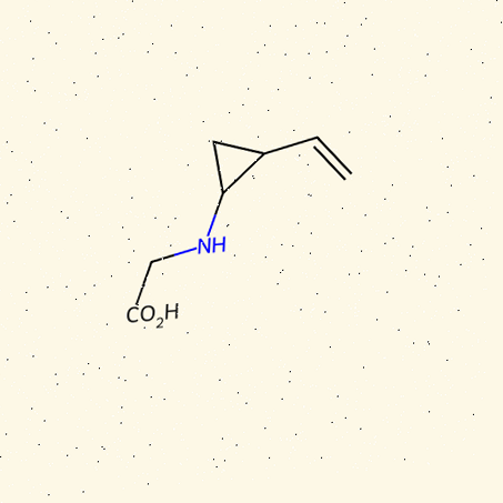 C=CC1CC1NCC(=O)O